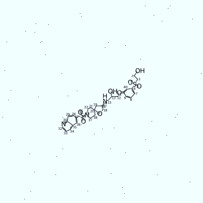 O=S(=O)(CCO)c1cccc(OCC(O)CN[C@H]2COC3(CCN(S(=O)(=O)c4ccc5ncccc5c4)CC3)C2)c1